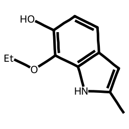 CCOc1c(O)ccc2cc(C)[nH]c12